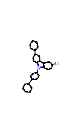 Clc1ccc2c(c1)c1cc(-c3ccccc3)ccc1n2-c1ccc(-c2ccccc2)cc1